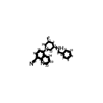 C[C@H]1C[C@@H](NCc2ccccc2)CN(c2ccc(C#N)c3ncccc23)C1